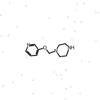 c1cncc(OCN2CCNCC2)c1